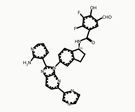 Nc1ncccc1-c1nc2ccc(-c3cnccn3)nc2n1-c1ccc2c(c1)CC[C@@H]2NC(=O)c1cc(C=O)c(O)c(F)c1F